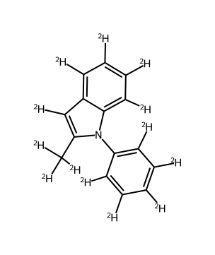 [2H]c1c([2H])c([2H])c(-n2c(C([2H])([2H])[2H])c([2H])c3c([2H])c([2H])c([2H])c([2H])c32)c([2H])c1[2H]